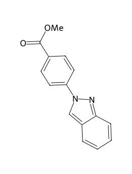 COC(=O)c1ccc(-n2cc3ccccc3n2)cc1